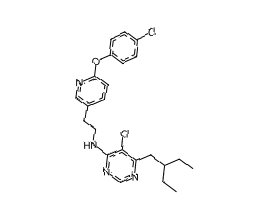 CCC(CC)Cc1ncnc(NCCc2ccc(Oc3ccc(Cl)cc3)nc2)c1Cl